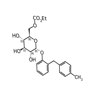 CCOC(=O)OC[C@H]1O[C@H](Oc2ccccc2Cc2ccc(C)cc2)[C@H](O)[C@@H](O)[C@@H]1O